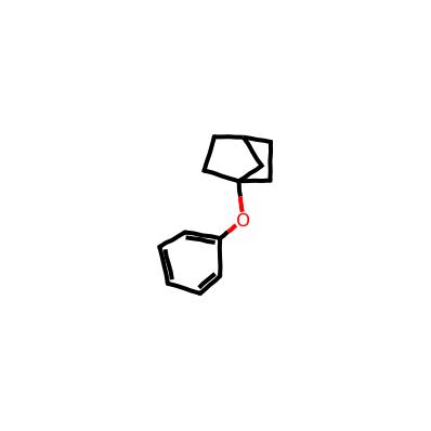 c1ccc(OC23CCC(CC2)C3)cc1